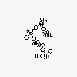 CS(=O)(=O)c1ccc(C2=C(c3ccccc3)C(=O)OC2)cc1.Cc1ccc(-c2cc(C(F)(F)F)nn2-c2ccc(S(N)(=O)=O)cc2)cc1.Cc1onc(-c2ccccc2)c1-c1ccc(S(N)(=O)=O)cc1